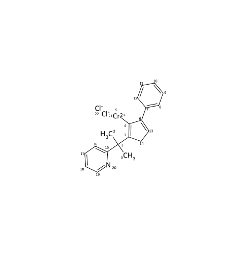 CC(C)(C1=[C]([Cr+2])C(c2ccccc2)=CC1)c1ccccn1.[Cl-].[Cl-]